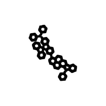 c1ccc(N(c2ccccc2)c2ccc3c(c2)C2(c4ccccc4-c4ccccc42)c2cc(-c4ccc5ccc6c7c(ccc4c57)cc4c5ccccc5n(-c5ccccc5)c46)ccc2-3)cc1